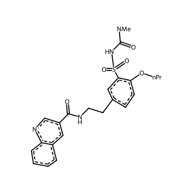 CCCOc1ccc(CCNC(=O)c2cnc3ccccc3c2)cc1S(=O)(=O)NC(=O)NC